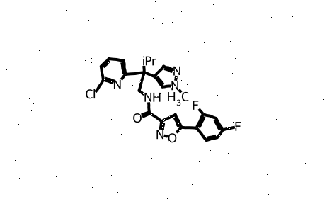 CC(C)C(CNC(=O)c1cc(-c2ccc(F)cc2F)on1)(c1cnn(C)c1)c1cccc(Cl)n1